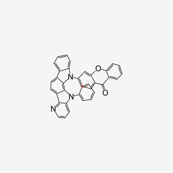 O=c1c2ccccc2oc2cc(-n3c4ccccc4c4ccc5c6ncccc6n(-c6ccccc6)c5c43)ccc12